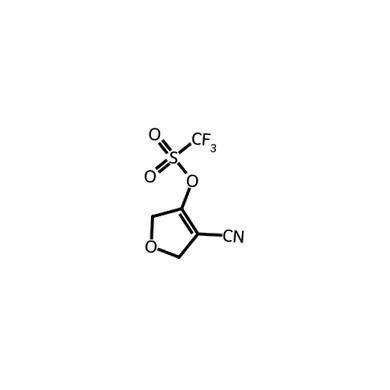 N#CC1=C(OS(=O)(=O)C(F)(F)F)COC1